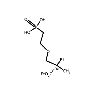 CCOC(=O)[C@@](C)(CC)COCCP(=O)(O)O